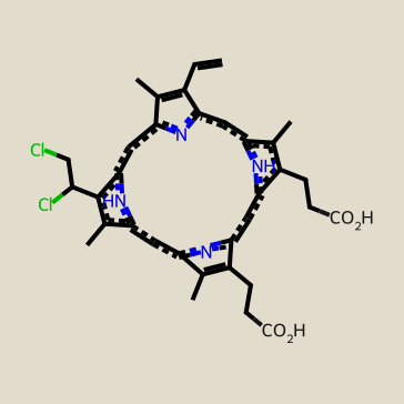 C=CC1=C(C)c2cc3[nH]c(cc4nc(cc5[nH]c(cc1n2)c(C)c5CCC(=O)O)C(CCC(=O)O)=C4C)c(C)c3C(Cl)CCl